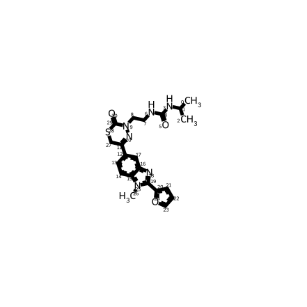 CC(C)NC(=O)NCCN1N=C(c2ccc3c(c2)nc(-c2ccco2)n3C)CSC1=O